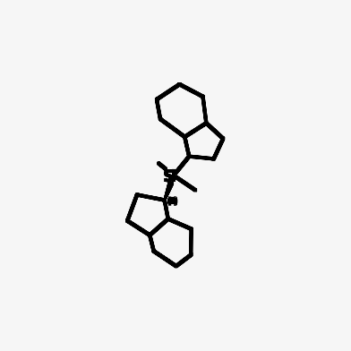 C[Si](C)(C1CCC2CCCCC21)[C@@H]1CCC2CCCCC21